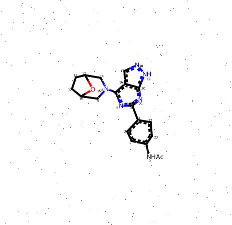 CC(=O)Nc1ccc(-c2nc(N3CC4CCC(C3)O4)c3cn[nH]c3n2)cc1